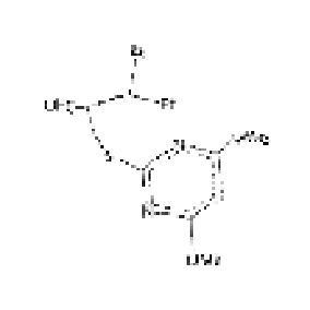 CCC(CC)C(C=O)Sc1nc(OC)cc(OC)n1